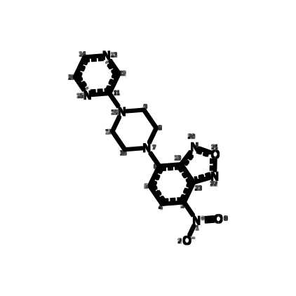 O=[N+]([O-])c1ccc(N2CCN(c3cnccn3)CC2)c2nonc12